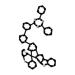 c1ccc(-c2nc(-c3ccccc3)nc(-c3cccc(-c4cccc(-c5ccc6c(c5)C5(c7ccccc7Sc7ccccc75)c5cc7oc8ccccc8c7cc5-6)c4)c3)n2)cc1